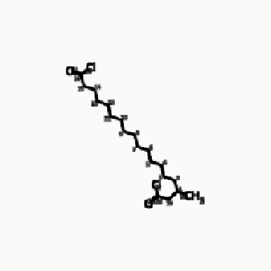 CC(CCCCCCCCCCCCCCC(=O)Cl)CC(=O)Cl